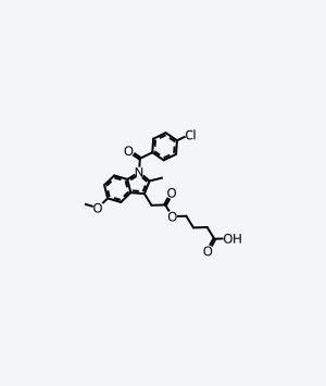 COc1ccc2c(c1)c(CC(=O)OCCCC(=O)O)c(C)n2C(=O)c1ccc(Cl)cc1